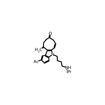 C=C1CCC(=O)C/C=C\c2c1c1cc(C(C)=O)ccc1n2CCCCNC(C)C